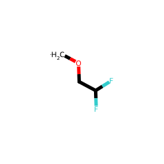 [CH2]OCC(F)F